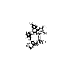 C[C@@H]1C[C@H]([C@H](c2ccc(Cl)cc2)[C@H](N=[N+]=[N-])C(=O)Nc2cncc(F)c2CC[C@H]2CN(C(=O)OC(C)(C)C)[C@@H]3CCCS(=O)(=O)N2C3)C[C@H](C)O1